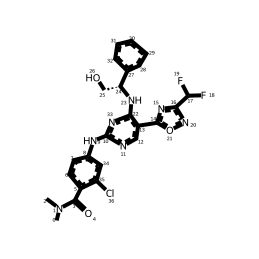 CN(C)C(=O)c1ccc(Nc2ncc(-c3nc(C(F)F)no3)c(N[C@H](CO)c3ccccc3)n2)cc1Cl